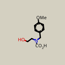 COc1ccc(CN(CCO)C(=O)O)cc1